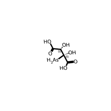 O=C(O)[C@H](O)[C@](O)([AsH2])C(=O)O